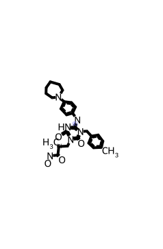 Cc1ccc(Cn2c(=O)n(C[C@H](C)C(=O)N=O)c(=O)[nH]/c2=N\c2ccc(N3CCCCCC3)cc2)cc1